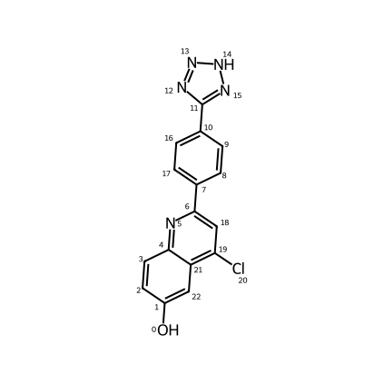 Oc1ccc2nc(-c3ccc(-c4nn[nH]n4)cc3)cc(Cl)c2c1